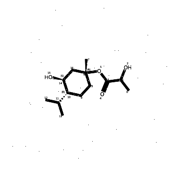 CC(O)C(=O)O[C@]1(C)CC[C@H](C(C)C)[C@@H](O)C1